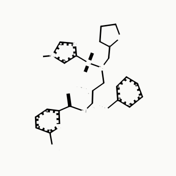 Cc1cccc(C(=O)N[C@@H](Cc2ccccc2)[C@H](O)CN(CC2CCCO2)S(=O)(=O)c2cn(C)cn2)n1